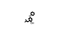 CC(C)=Cc1cc(Oc2ccccc2)ccc1O